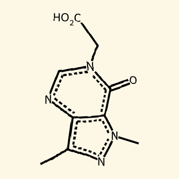 Cc1nn(C)c2c(=O)n(CC(=O)O)cnc12